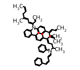 C=C/C=C(\C=C)c1ccc(N(/C(C=C)=C/C=C(\C)C/C=C\C)c2ccccc2C2=CC=C(C(/C=C\C)=C/CC(C)N(/C=C/C=C\c3ccccc3)c3ccccc3)CC2)cc1